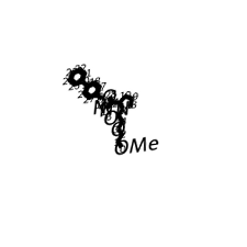 COCCOCC(=O)N1CCCC1c1nnc(-c2ccc(-c3ccccc3)cc2)o1